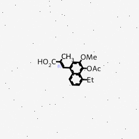 CCc1cccc2c(/C=C(\C)C(=O)O)cc(OC)c(OC(C)=O)c12